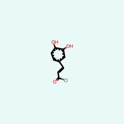 O=C(Cl)C=Cc1ccc(O)c(O)c1